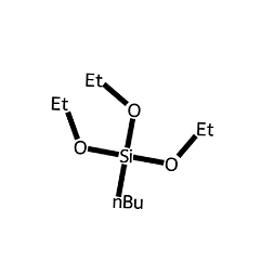 CC[CH]C[Si](OCC)(OCC)OCC